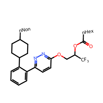 CCCCCCCCCC1CCC(c2ccccc2-c2ccc(OCC(OC(=O)CCCCCC)C(F)(F)F)nn2)CC1